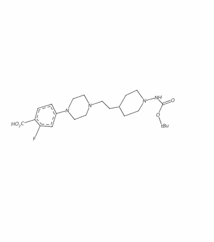 CC(C)(C)OC(=O)NN1CCC(CCN2CCN(c3ccc(C(=O)O)c(F)c3)CC2)CC1